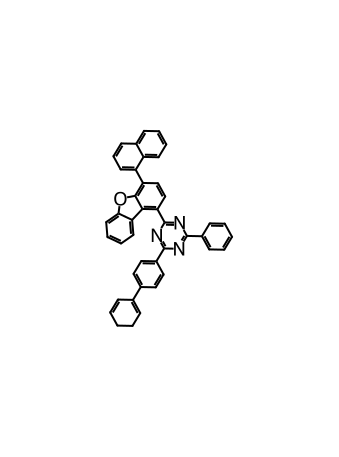 C1=CC(c2ccc(-c3nc(-c4ccccc4)nc(-c4ccc(-c5cccc6ccccc56)c5oc6ccccc6c45)n3)cc2)=CCC1